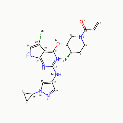 C=CC(=O)N1CC[C@@H](F)[C@H](Oc2nc(Nc3cnn(C4CC4)c3)nc3[nH]cc(Cl)c23)C1